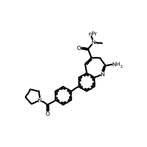 CCCN(C)C(=O)C1=Cc2cc(-c3ccc(C(=O)N4CCCC4)cc3)ccc2N=C(N)C1